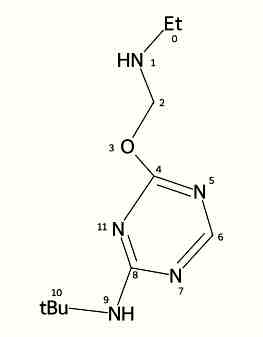 CCNCOc1ncnc(NC(C)(C)C)n1